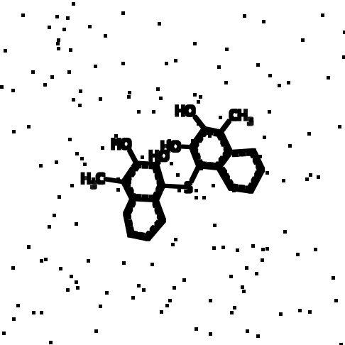 Cc1c(O)c(O)c(Sc2c(O)c(O)c(C)c3ccccc23)c2ccccc12